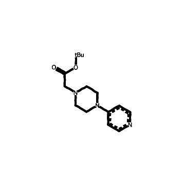 CC(C)(C)OC(=O)CN1CCN(c2ccncc2)CC1